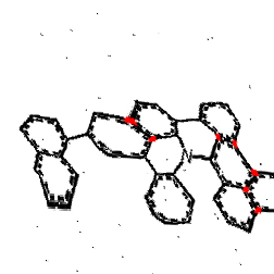 c1ccc(-c2cccc(-c3ccccc3N(c3ccccc3-c3cccc(-c4cccc5ccccc45)c3)c3cccc4ccccc34)c2)cc1